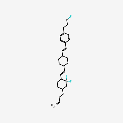 C=CCCC1CCC(/C=C/C2CCC(/C=C/c3ccc(CCCF)cc3)CC2)C(F)(F)C1